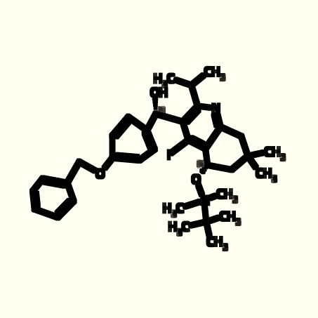 CC(C)c1nc2c(c(I)c1[C@@H](O)c1ccc(OCc3ccccc3)cc1)[C@@H](O[Si](C)(C)C(C)(C)C)CC(C)(C)C2